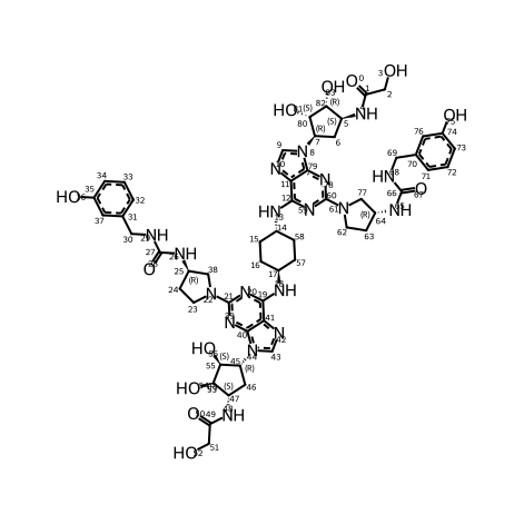 O=C(CO)N[C@H]1C[C@@H](n2cnc3c(N[C@H]4CC[C@H](Nc5nc(N6CC[C@@H](NC(=O)NCc7cccc(O)c7)C6)nc6c5ncn6[C@@H]5C[C@H](NC(=O)CO)[C@@H](O)[C@H]5O)CC4)nc(N4CC[C@@H](NC(=O)NCc5cccc(O)c5)C4)nc32)[C@H](O)[C@@H]1O